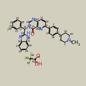 CN1CCC(c2ccc(-c3ccc4ncn(C(c5cccc(F)c5)c5nc6ccccc6[nH]5)c(=O)c4n3)cc2)CC1.O=C(O)C(F)(F)F